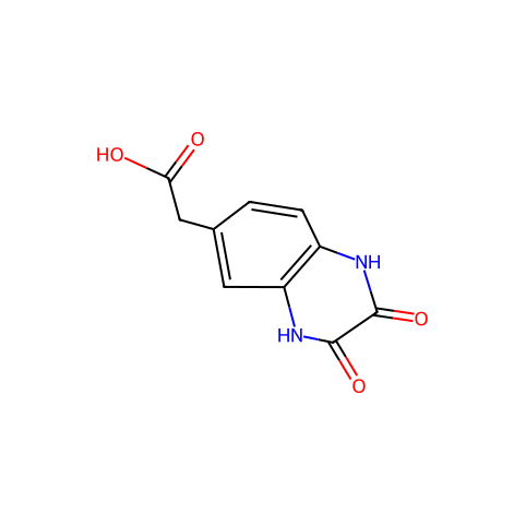 O=C(O)Cc1ccc2[nH]c(=O)c(=O)[nH]c2c1